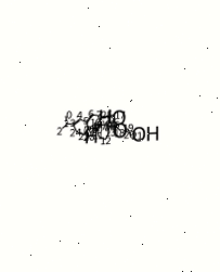 CC(C)C1=CC2=CC[C@@H]3[C@](C)(CCC[C@@]3(C)C(=O)OCCO)[C@H]2CC1